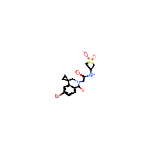 O=C(CN1CC2(CC2)c2cc(Br)ccc2C1=O)NC1CS(=O)(=O)C1